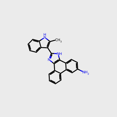 Cc1[nH]c2ccccc2c1-c1nc2c3ccccc3c3cc(N)ccc3c2[nH]1